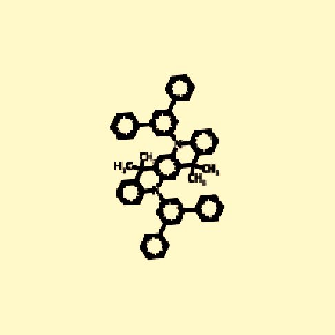 CC1(C)c2ccccc2N(c2cc(-c3ccccc3)cc(-c3ccccc3)c2)c2cc3c(cc21)N(c1cc(-c2ccccc2)cc(-c2ccccc2)c1)c1ccccc1C3(C)C